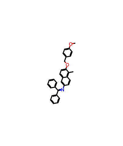 COc1ccc(COc2ccc3cc(N=C(c4ccccc4)c4ccccc4)ccc3c2C)cc1